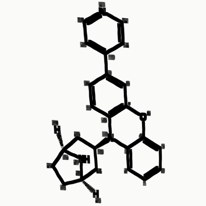 c1ccc2c(c1)Oc1cc(-c3ccncc3)ccc1N2[C@H]1C[C@H]2CC[C@@H](C1)N2